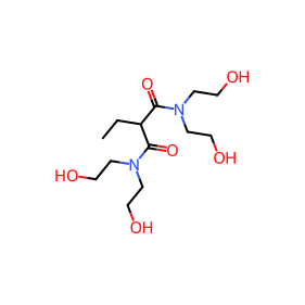 CCC(C(=O)N(CCO)CCO)C(=O)N(CCO)CCO